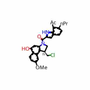 CCCc1ccc2cc(C(=O)N3C[C@@H](CCl)c4c3cc(O)c3ccc(OC)cc43)[nH]c2c1C(C)=O